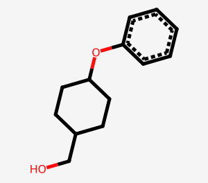 OCC1CCC(Oc2ccccc2)CC1